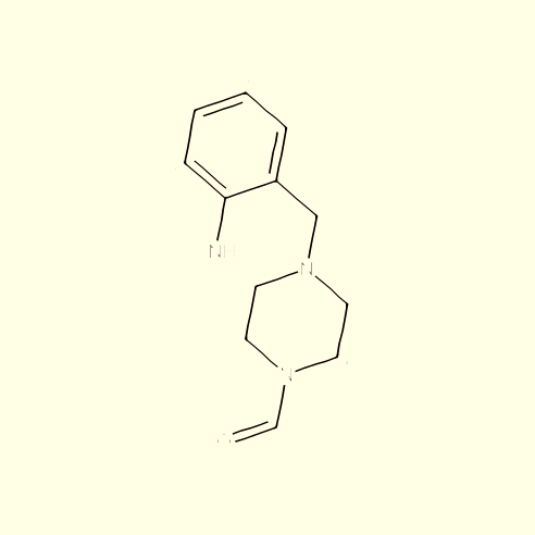 Nc1ccccc1CN1CCN(C=O)CC1